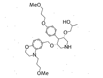 COCCCOc1ccc(C2[C@@H](OCc3ccc4c(c3)N(CCCOC)CCO4)CNC[C@H]2OCC(C)O)cc1